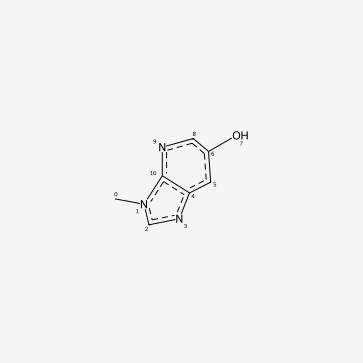 Cn1cnc2cc(O)cnc21